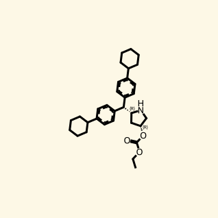 CCOC(=O)O[C@H]1CN[C@@H](C(c2ccc(C3CCCCC3)cc2)c2ccc(C3CCCCC3)cc2)C1